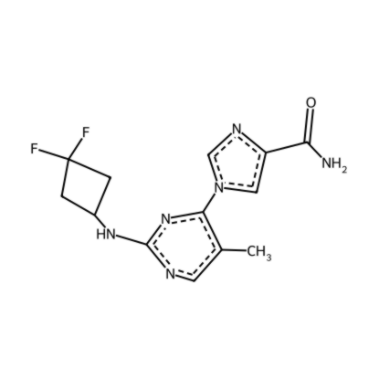 Cc1cnc(NC2CC(F)(F)C2)nc1-n1cnc(C(N)=O)c1